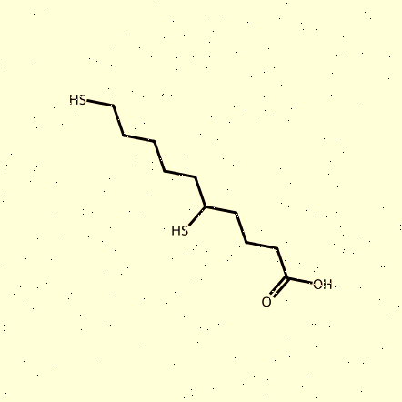 O=C(O)CCCC(S)CCCCCS